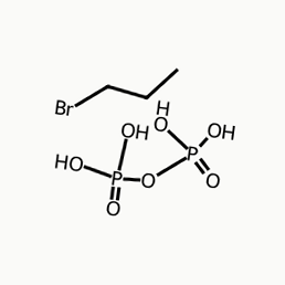 CCCBr.O=P(O)(O)OP(=O)(O)O